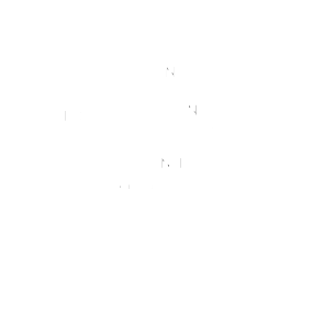 O=C(Nc1cc(C(F)(F)F)cc2ncn(-c3ccccc3)c12)c1ccccc1